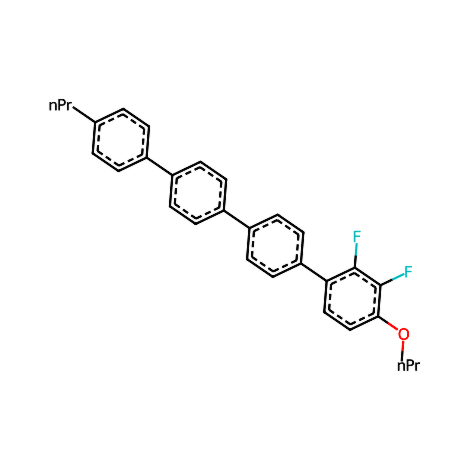 CCCOc1ccc(-c2ccc(-c3ccc(-c4ccc(CCC)cc4)cc3)cc2)c(F)c1F